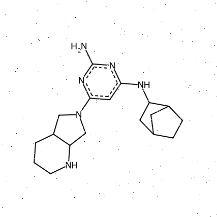 Nc1nc(NC2CC3CCC2C3)cc(N2CC3CCCNC3C2)n1